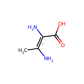 C/C(N)=C(\N)C(=O)O